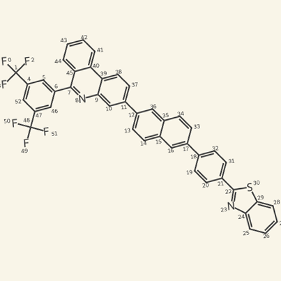 FC(F)(F)c1cc(-c2nc3cc(-c4ccc5cc(-c6ccc(-c7nc8ccccc8s7)cc6)ccc5c4)ccc3c3ccccc23)cc(C(F)(F)F)c1